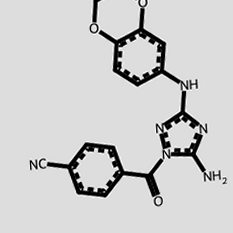 N#Cc1ccc(C(=O)n2nc(Nc3ccc4c(c3)OCCO4)nc2N)cc1